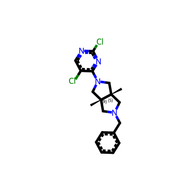 C[C@@]12CN(Cc3ccccc3)C[C@]1(C)CN(c1nc(Cl)ncc1Cl)C2